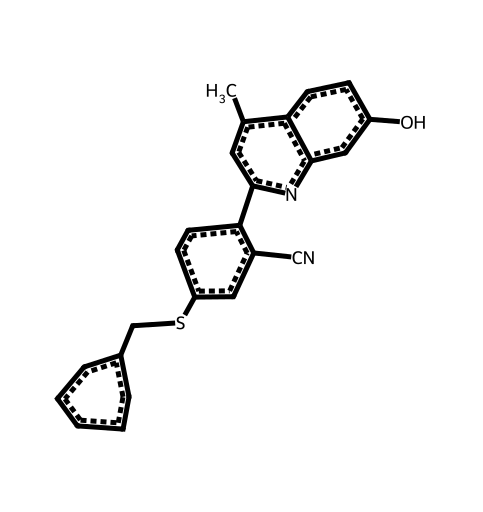 Cc1cc(-c2ccc(SCc3ccccc3)cc2C#N)nc2cc(O)ccc12